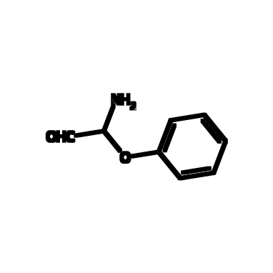 NC(C=O)Oc1ccccc1